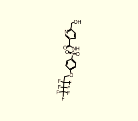 O=C(NS(=O)(=O)c1ccc(OCC(F)(F)C(F)(F)C(F)(F)F)cc1)c1ccc(CO)nc1